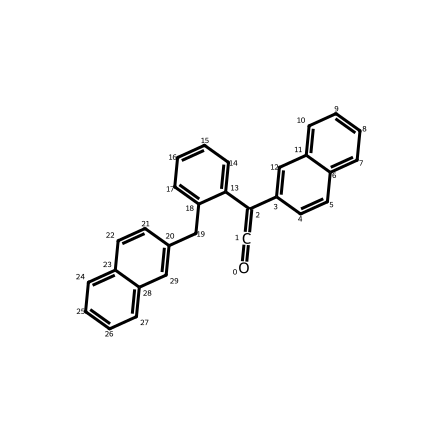 O=C=C(c1ccc2ccccc2c1)c1ccccc1Cc1ccc2ccccc2c1